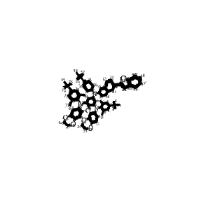 Cc1cc(C(C)(C)C)cc(C)c1N(c1ccc2c(c1)OCCO2)c1cc(N(c2ccc(C(C)(C)C)cc2)c2ccc3cc(-c4cc5ccccc5o4)ccc3c2)cc(N(c2ccc3c(c2)OCCO3)c2c(C)cc(C(C)(C)C)cc2C)c1Cl